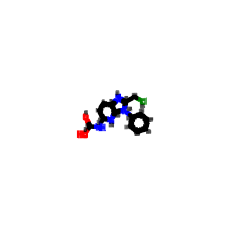 O=C(O)Nc1ccc2nc(CCl)n(-c3ccccc3)c2n1